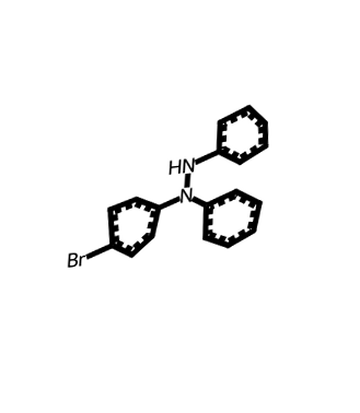 Brc1ccc(N(Nc2ccccc2)c2ccccc2)cc1